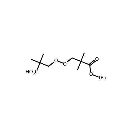 CC(C)(C)OC(=O)C(C)(C)COOCC(C)(C)C(=O)O